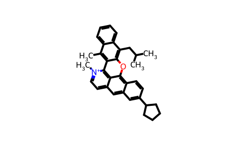 Cc1c2c(c(CC(C)C)c3ccccc13)Oc1c3ccc(C4CCCC4)cc3cc3cc[n+](C)c-2c13